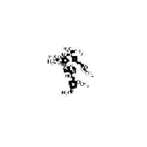 COc1ccc(CNc2ncnc3c2ccn3[C@@H]2C[C@H](CN(C(C)C)C3CC(CCC4OC(C)O4)C3)[C@H]3OC(C)(C)O[C@H]32)c(OC)c1